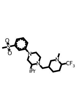 CC(C)C1CN(c2cccc(S(C)(=O)=O)c2)CCN1CC1CCC(C(F)(F)F)N(C)C1